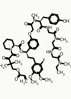 C=CC(=O)OCC(C)(C)C(=O)C(=O)N1CCCC[C@H]1C(=O)O[C@H](CCc1cc(OC)c(OC)cc1F)c1cccc(OCC(=O)N(C)[C@@H](Cc2ccc(O)cc2)C(=O)NCC(=O)N(C)CC(=O)NCC(=O)N(C)CC)c1